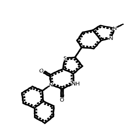 Cn1cc2ccc(-c3cc4[nH]c(=O)n(-c5cccc6ccccc56)c(=O)c4s3)cc2n1